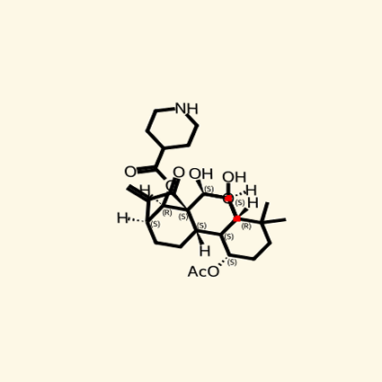 C=C1C(=O)[C@]23[C@H](OC(=O)C4CCNCC4)[C@H]1CC[C@H]2[C@@]12CO[C@]3(O)[C@@H](O)[C@@H]1C(C)(C)CC[C@@H]2OC(C)=O